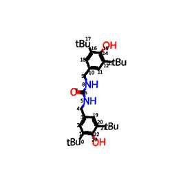 CC(C)(C)c1cc(CNC(=O)NCc2cc(C(C)(C)C)c(O)c(C(C)(C)C)c2)cc(C(C)(C)C)c1O